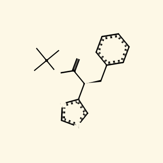 CC(C)(C)OC(=O)[C@@H](Cc1ccccc1)c1cn[c]o1